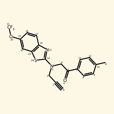 C#CCN(CC(=O)c1ccc(C)cc1)c1nc2ccc(OC(F)(F)F)cc2s1